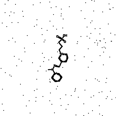 CN(N=Cc1ccc[n+](CCCS(=O)(=O)O)c1)c1ccccc1